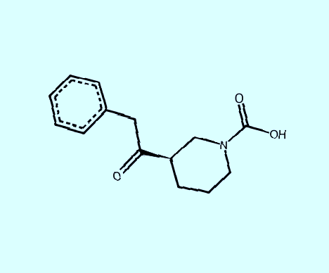 O=C(Cc1ccccc1)[C@@H]1CCCN(C(=O)O)C1